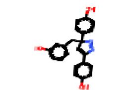 Oc1ccc(C2=CC(Cc3cccc(O)c3)(c3ccc(O)cc3)N=N2)cc1